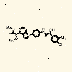 CC(C)(C)OC(=O)N(OC(C)(C)C)c1ncnc2c1ncn2-c1ccc(NC(=O)N(O)c2ccc(Cl)c(C(F)(F)F)c2)cc1